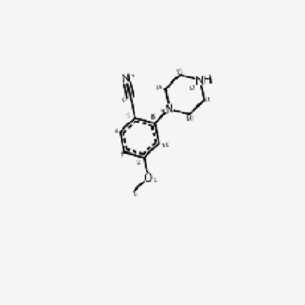 COc1ccc(C#N)c(N2CCNCC2)c1